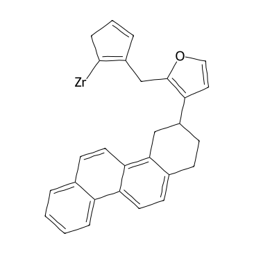 [Zr][C]1=C(Cc2occc2C2CCc3ccc4c(ccc5ccccc54)c3C2)C=CC1